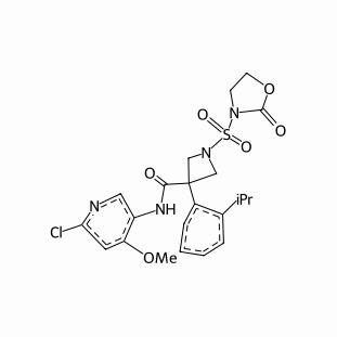 COc1cc(Cl)ncc1NC(=O)C1(c2ccccc2C(C)C)CN(S(=O)(=O)N2CCOC2=O)C1